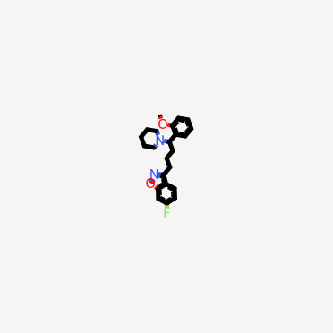 COc1ccccc1C(CCCc1noc2cc(F)ccc12)N1CCCCC1